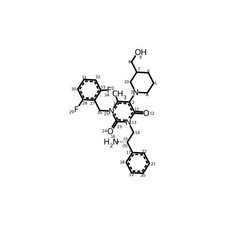 Cc1c(N2CCCC(CO)C2)c(=O)n(C[C@@H](N)c2ccccc2)c(=O)n1Cc1c(F)cccc1F